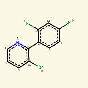 Fc1ccc(-c2ncccc2Br)c(F)c1